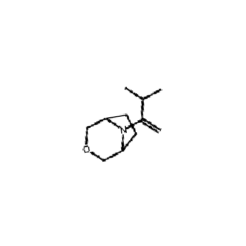 C=C(C(C)C)N1C2CCC1COC2